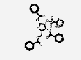 O=C(OC[C@H]1O[C@H](OC(=O)c2ccccc2)[C@H](OS(=O)(=O)c2ncc[nH]2)[C@@H]1OC(=O)c1ccccc1)c1ccccc1